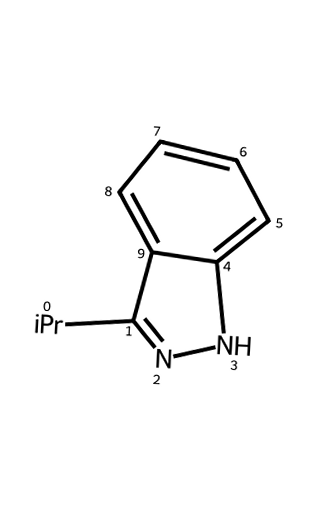 CC(C)c1n[nH]c2ccccc12